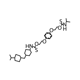 CC(C)NC(=S)OCCOc1ccc(OCCOC(=S)NC2CCC(CC3CCC(C(C)C)CC3)CC2)cc1